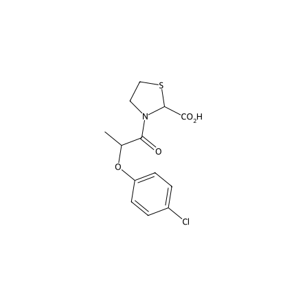 CC(Oc1ccc(Cl)cc1)C(=O)N1CCSC1C(=O)O